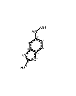 ONc1ccc2oc(S)nc2c1